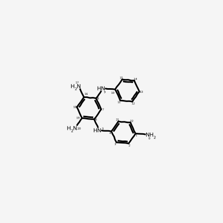 Nc1ccc(Nc2cc(Nc3ccccc3)c(N)cc2N)cc1